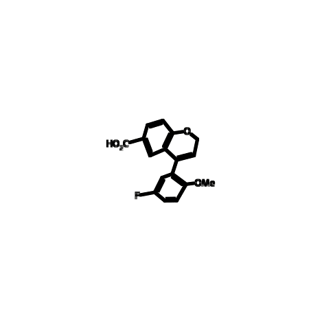 COc1ccc(F)cc1C1=CCOc2ccc(C(=O)O)cc21